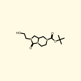 CC(C)(C)OC(=O)N1CCN2C(=O)N(CCO)CC2C1